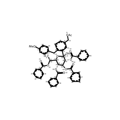 COc1ccc(Cc2ccc(COC(C)=O)cc2[C@@]2(O)O[C@H]([C@H](C)OC(=O)c3ccccc3)[C@@H](OC(=O)c3ccccc3)[C@H](OC(=O)c3ccccc3)[C@H]2OC(=O)c2ccccc2)cc1